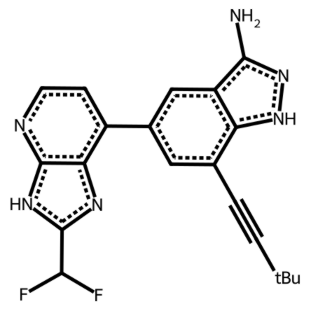 CC(C)(C)C#Cc1cc(-c2ccnc3[nH]c(C(F)F)nc23)cc2c(N)n[nH]c12